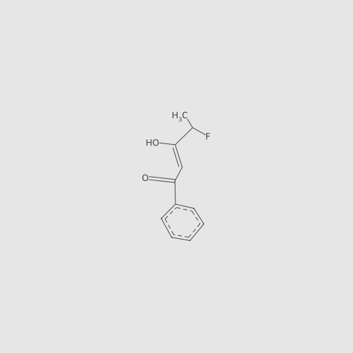 CC(F)/C(O)=C/C(=O)c1ccccc1